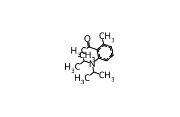 CC(=O)c1c(C)cccc1N(C(C)C)C(C)C